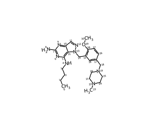 CCCCNc1nc(N)nc2cnn(Cc3cc(CN4CCN(C)CC4)ccc3OC)c12